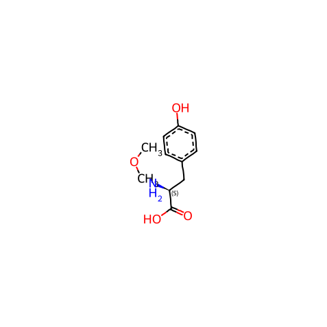 COC.N[C@@H](Cc1ccc(O)cc1)C(=O)O